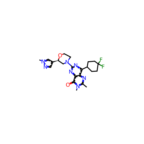 Cc1nc2c(C3CCC(F)(F)CC3)nc(N3CCO[C@H](c4cnn(C)c4)C3)nc2c(=O)n1C